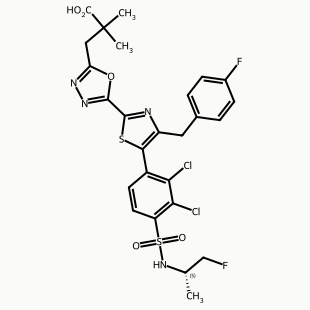 C[C@@H](CF)NS(=O)(=O)c1ccc(-c2sc(-c3nnc(CC(C)(C)C(=O)O)o3)nc2Cc2ccc(F)cc2)c(Cl)c1Cl